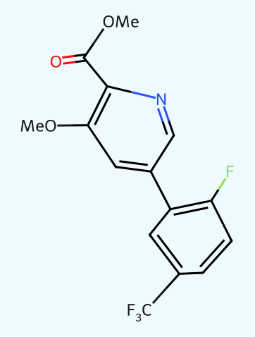 COC(=O)c1ncc(-c2cc(C(F)(F)F)ccc2F)cc1OC